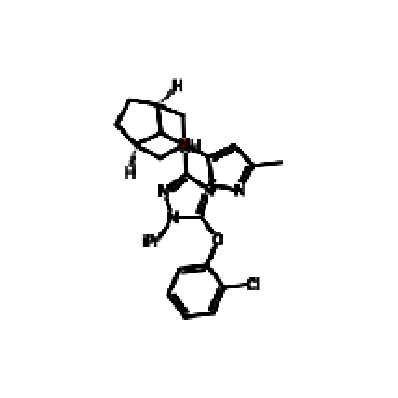 Cc1cc(N2C[C@H]3CC[C@@H](C2)C3Nc2nc(Oc3ccccc3Cl)n(C(C)C)n2)sn1